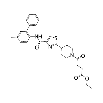 CCOC(=O)CCC(=O)N1CCC(c2nc(C(=O)Nc3ccc(C)cc3-c3ccccc3)cs2)CC1